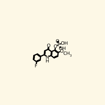 COc1ccc2[nH]c(-c3cccc(F)c3)cc(=O)c2c1OP(=O)(O)O